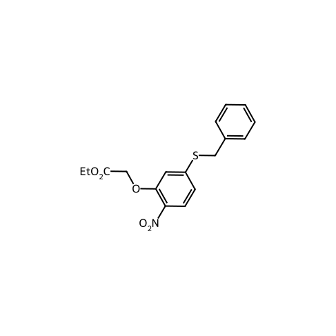 CCOC(=O)COc1cc(SCc2ccccc2)ccc1[N+](=O)[O-]